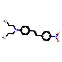 CCCN(CCC)c1ccc(/C=C/c2ccc([N+](=O)[O-])cc2)cc1